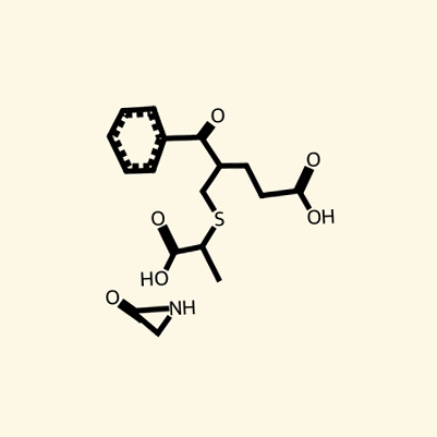 CC(SCC(CCC(=O)O)C(=O)c1ccccc1)C(=O)O.O=C1CN1